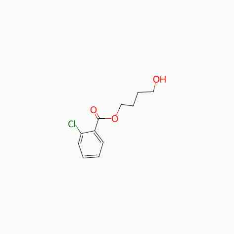 O=C(OCCCCO)c1ccccc1Cl